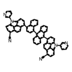 N#Cc1ccc2c3c1ccc1c(-c4ccc(-c5c6ccccc6c(-c6ccc7c8c6ccc6c(C#N)ccc(c68)n7-c6cccnc6)c6ccccc56)c5ccccc45)ccc(c13)n2-c1cccnc1